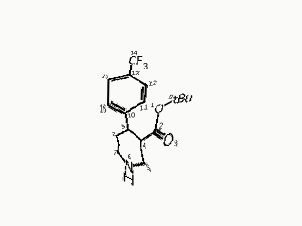 CC(C)(C)OC(=O)C1CNCCC1c1ccc(C(F)(F)F)cc1